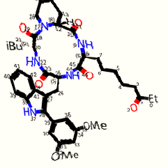 CCC(=O)CCCCC[C@@H]1NC(=O)[C@H]2CCCCN2C(=O)C([C@H](C)CC)NC(=O)[C@H](Cc2c(-c3cc(OC)cc(OC)c3)[nH]c3ccccc23)NC1=O